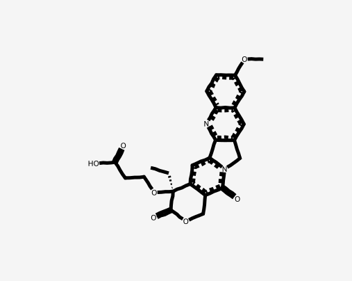 CC[C@@]1(OCCC(=O)O)C(=O)OCc2c1cc1n(c2=O)Cc2cc3cc(OC)ccc3nc2-1